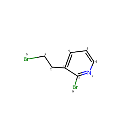 BrCCc1cccnc1Br